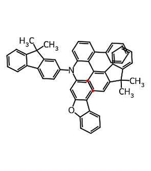 CC1(C)c2ccccc2-c2ccc(N(c3ccc4c(c3)oc3ccccc34)c3cccc(-c4ccccc4)c3-c3cccc4c3-c3ccccc3C4(C)C)cc21